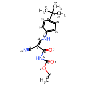 CCOC(=O)NC(=O)C(C#N)=CNc1ccc(C(C)(C)C)cc1